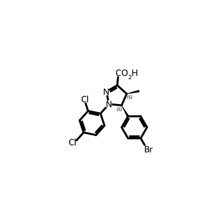 C[C@@H]1C(C(=O)O)=NN(c2ccc(Cl)cc2Cl)[C@@H]1c1ccc(Br)cc1